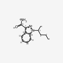 CCCC(C)n1nc(C(N)=O)c2ccccc21